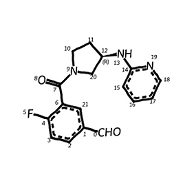 O=Cc1ccc(F)c(C(=O)N2CC[C@@H](Nc3ccccn3)C2)c1